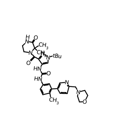 Cc1ccc(NC(=O)Nc2cn(C(C)(C)C)nc2C(=O)N2CCNC(=O)C2(C)C)cc1-c1ccc(CN2CCOCC2)nc1